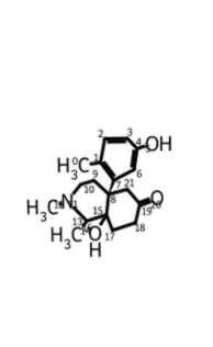 Cc1ccc(O)cc1[C@]12CCN(C)C(C)C1(O)CCC(=O)C2